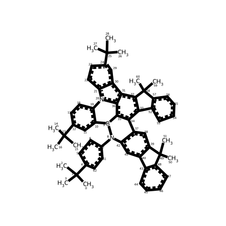 CC(C)(C)c1ccc(N2B3c4cc(C(C)(C)C)ccc4-n4c5ccc(C(C)(C)C)cc5c5c6c(c(c3c54)-c3cc4c(cc32)-c2ccccc2C4(C)C)-c2ccccc2C6(C)C)cc1